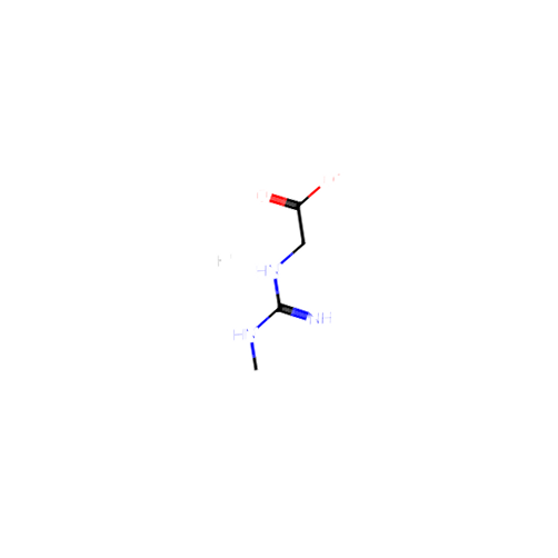 CNC(=N)NCC(=O)[O-].[K+]